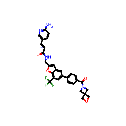 Nc1ccc(/C=C/C(=O)NCc2cc3cc(-c4ccc(C(=O)N5CC6(COC6)C5)cc4)cc(C(F)(F)F)c3o2)cn1